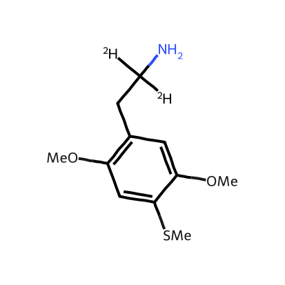 [2H]C([2H])(N)Cc1cc(OC)c(SC)cc1OC